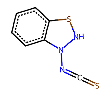 S=C=NN1NSc2ccccc21